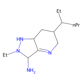 CCCC(CC)C1CN=C2C(C1)NN(CC)C2N